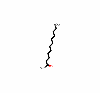 CCCCCCCCCCCCCCCCCCC(=O)C=O